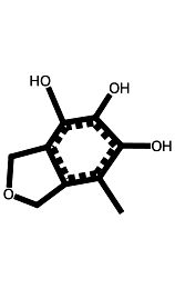 Cc1c(O)c(O)c(O)c2c1COC2